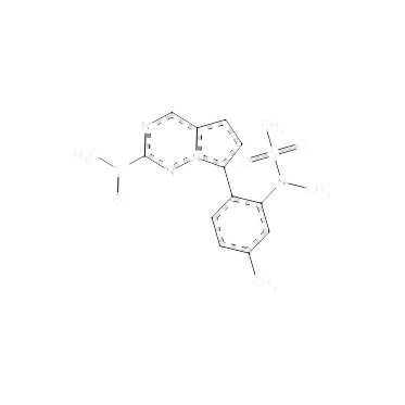 Cc1ccc(-c2ccc3cnc([S+](C)[O-])nn23)c(N(C)S(C)(=O)=O)c1